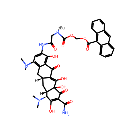 CN(C)c1cc(NC(=O)CN(C(=O)OCOC(=O)c2c3ccccc3cc3ccccc23)C(C)(C)C)c(O)c2c1C[C@H]1C[C@H]3[C@H](N(C)C)C(O)=C(C(N)=O)C(=O)[C@@]3(O)C(O)=C1C2=O